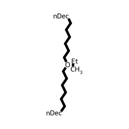 CCC.CCCCCCCCCCCCCCCCOCCCCCCCCCCCCCCCC